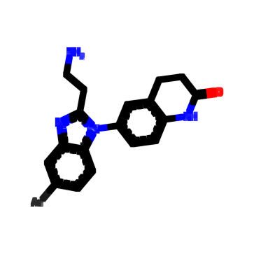 CC(=O)c1ccc2c(c1)nc(CCN)n2-c1ccc2c(c1)CCC(=O)N2